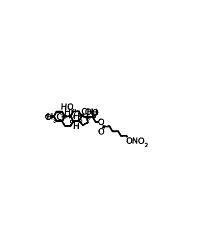 C[C@]12C=CC(=O)C=C1CC[C@@H]1[C@@H]2[C@@H](O)C[C@@]2(C)[C@H]1CC[C@]2(O)C(=O)COC(=O)CCCCCO[N+](=O)[O-]